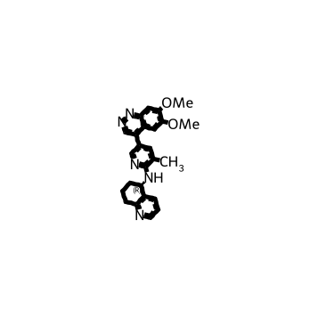 COc1cc2nncc(-c3cnc(N[C@@H]4CCCc5ncccc54)c(C)c3)c2cc1OC